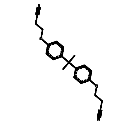 CC(C)(c1ccc(OCCC#N)cc1)c1ccc(OCCC#N)cc1